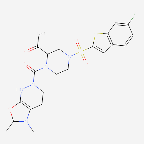 CNC(=O)C1CN(S(=O)(=O)c2cc3ccc(Cl)cc3s2)CCN1C(=O)N1CCC2=C(N1)OC(C)N2C